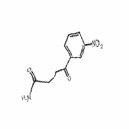 NC(=O)CCC(=O)c1cccc([N+](=O)[O-])c1